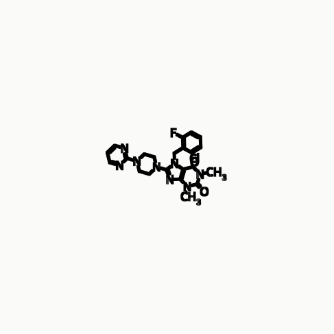 Cn1c(=O)c2c(nc(N3CCN(c4ncccn4)CC3)n2Cc2c(F)cccc2Cl)n(C)c1=O